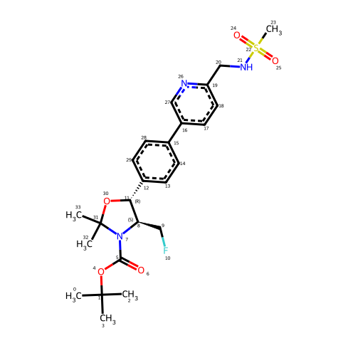 CC(C)(C)OC(=O)N1[C@H](CF)[C@@H](c2ccc(-c3ccc(CNS(C)(=O)=O)nc3)cc2)OC1(C)C